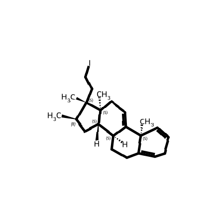 C[C@@H]1C[C@H]2[C@@H]3CCC4=CCC=C[C@]4(C)C3=CC[C@]2(C)[C@@]1(C)CCI